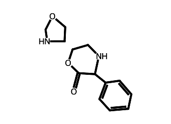 C1COCN1.O=C1OCCNC1c1ccccc1